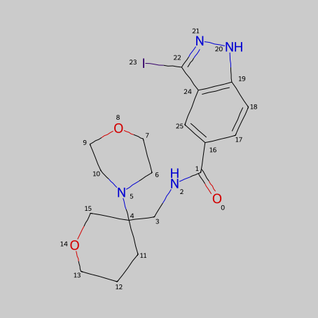 O=C(NCC1(N2CCOCC2)CCCOC1)c1ccc2[nH]nc(I)c2c1